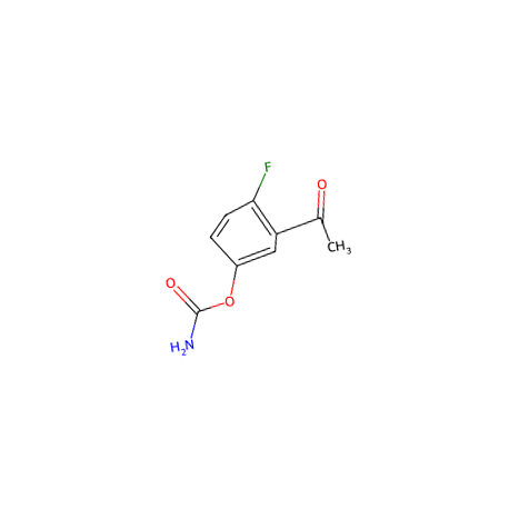 CC(=O)c1cc(OC(N)=O)ccc1F